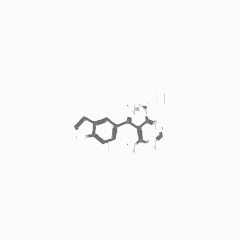 Cn1nc(-c2ccc3occc3c2)c2c(N)ncnc21